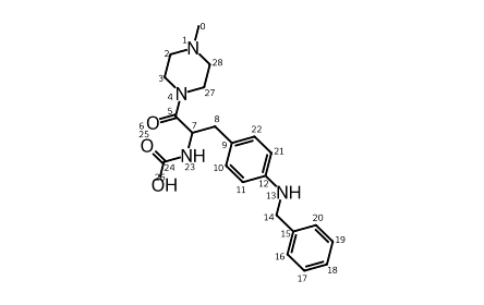 CN1CCN(C(=O)C(Cc2ccc(NCc3ccccc3)cc2)NC(=O)O)CC1